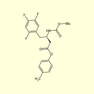 Cc1ccc(OC(=O)C[C@@H](Cc2cc(F)c(F)cc2F)NC(=O)OC(C)(C)C)cc1